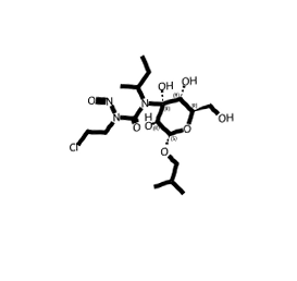 CCC(C)N(C(=O)N(CCCl)N=O)[C@@]1(O)[C@H](O)[C@@H](CO)O[C@H](OCC(C)C)[C@@H]1O